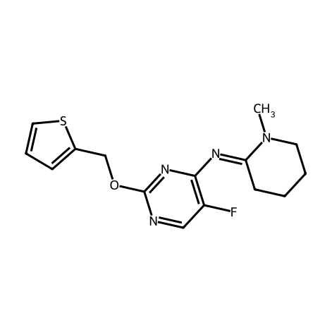 CN1CCCC/C1=N\c1nc(OCc2cccs2)ncc1F